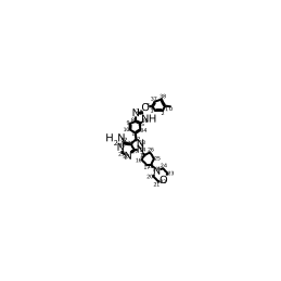 Cc1ccc(Oc2nc3ccc(-c4nn(C5CCC(N6CCOCC6)CC5)c5ncnc(N)c45)cc3[nH]2)cc1